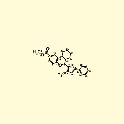 COC(=O)c1ccc(OC(c2sc(-c3ccccc3)cc2C)C2CCCCC2)cc1